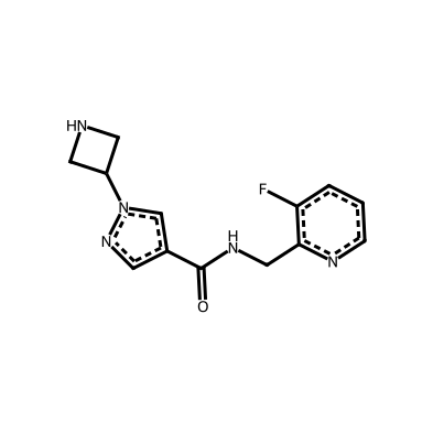 O=C(NCc1ncccc1F)c1cnn(C2CNC2)c1